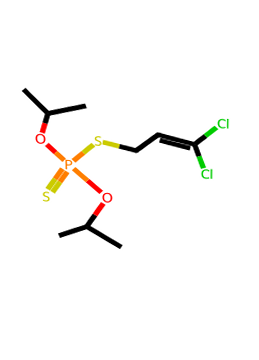 CC(C)OP(=S)(OC(C)C)SCC=C(Cl)Cl